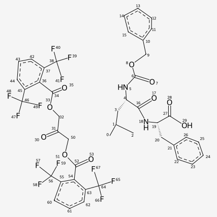 CC(C)C[C@H](NC(=O)OCc1ccccc1)C(=O)N[C@@H](Cc1ccccc1)C(=O)O.O=C(COC(=O)c1c(C(F)(F)F)cccc1C(F)(F)F)COC(=O)c1c(C(F)(F)F)cccc1C(F)(F)F